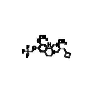 COc1cc2c(cc1OCC(F)(F)F)CCN1C[C@@H](CC3CCC3)N(C)C[C@H]21